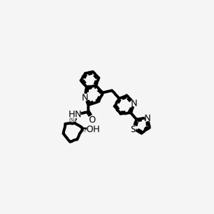 O=C(N[C@H]1CCCC[C@@H]1O)c1cc(Cc2ccc(-c3nccs3)nc2)c2ccccc2n1